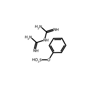 N=C(N)NC(=N)N.O=S(=O)(O)Oc1ccccc1